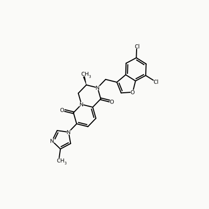 Cc1cn(-c2ccc3n(c2=O)C[C@@H](C)N(Cc2coc4c(Cl)cc(Cl)cc24)C3=O)cn1